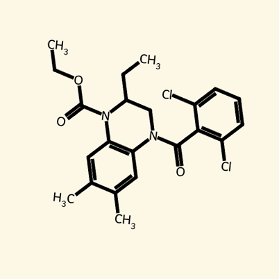 CCOC(=O)N1c2cc(C)c(C)cc2N(C(=O)c2c(Cl)cccc2Cl)CC1CC